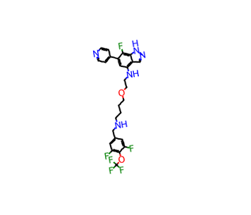 Fc1cc(CNCCCCOCCNc2cc(-c3ccncc3)c(F)c3[nH]ncc23)cc(F)c1OC(F)(F)F